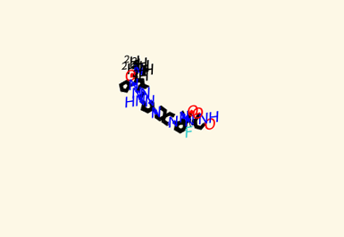 [2H]C([2H])([2H])N(C(=O)c1cc2cnc(Nc3ccc(N4CCC5(CC4)CCN(c4ccc(F)c6c4n(C)c(=O)n6[C@H]4CCC(=O)NC4=O)CC5)cn3)nc2n1C1CCCC1)C([2H])([2H])[2H]